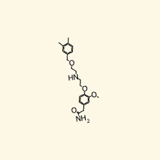 COc1cc(CC(N)=O)ccc1OCCNCCOCc1ccc(C)c(C)c1